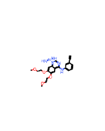 C#Cc1cccc(Nc2ncnc3cc(OCCOC)c(OCCOC)cc23)c1.N=[N+]=N